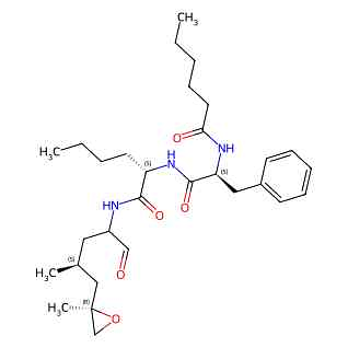 CCCCCC(=O)N[C@@H](Cc1ccccc1)C(=O)N[C@@H](CCCC)C(=O)NC(C=O)C[C@H](C)C[C@]1(C)CO1